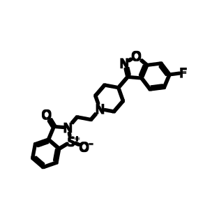 O=c1c2ccccc2[s+]([O-])n1CCN1CCC(c2noc3cc(F)ccc23)CC1